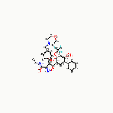 CCNC(=O)c1noc(C2C=C(c3ccccc3)C(O)=CC2(O)OC(F)(F)F)c1-c1ccc(CN2CCOCC2)cc1